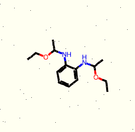 CCOC(C)Nc1ccccc1NC(C)OCC